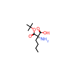 CCCC[C@](N)(C(=O)O)C(=O)OC(C)(C)C